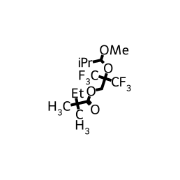 CCC(C)(C)C(=O)OCC(OC(OC)C(C)C)(C(F)(F)F)C(F)(F)F